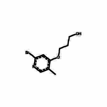 Cc1cnc(Br)cc1OCCCO